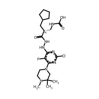 CN1CCN(c2nc(Cl)nc(NNC(=O)[C@@H](CNC(=O)O)CC3CCCC3)c2F)CC1(C)C